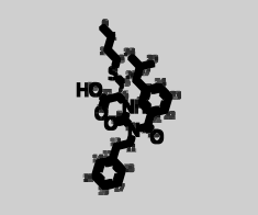 CCCCSC[C@H](NC(=O)N(CCc1ccccc1)C(=O)c1cccc(CC(C)C)c1)C(=O)O